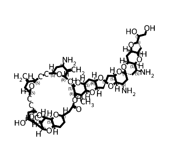 C=C1C[C@@H]2CC[C@]34C[C@@H](O)C(O3)[C@@H]3O[C@H]5CC[C@H](CC(=O)O[C@@H]6[C@@H](C)[C@@H]7O[C@@H]8C[C@]9(C[C@@H]%10O[C@]%11(C[C@H](N)[C@@H]%12O[C@@H]%13C[C@@H]([C@@H](O)CO)O[C@@H]%13C[C@@H]%12O%11)C[C@H](N)[C@@H]%10O9)O[C@@H]8C[C@@H]7O[C@H]6C[C@H]6O[C@@H](CC[C@@H]1O2)C[C@@H](N)C6=C)O[C@@H]5[C@H](O4)[C@@H]3C